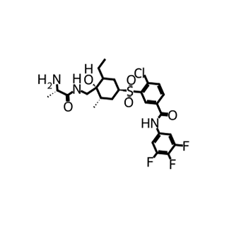 CCC1C[C@@H](S(=O)(=O)c2cc(C(=O)Nc3cc(F)c(F)c(F)c3)ccc2Cl)C[C@H](C)[C@@]1(O)CNC(=O)[C@H](C)N